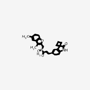 Cc1ccc2oc(CN(C)C(=O)C=Cc3ccc4c(c3)C3(CCC3)C(=O)N4)c(C)c2c1